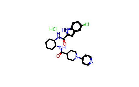 Cl.O=C(N[C@@H]1CCCC[C@@H]1NC(=O)C1CCN(c2ccncc2)CC1)c1cc2cc(Cl)ccc2[nH]1